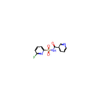 O=C(NS(=O)(=O)c1cccc(F)n1)c1cccnc1